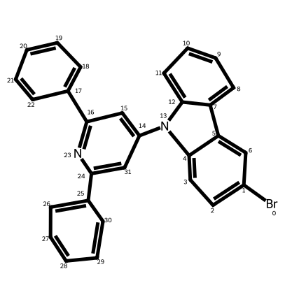 Brc1ccc2c(c1)c1ccccc1n2-c1cc(-c2ccccc2)nc(-c2ccccc2)c1